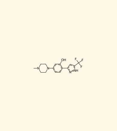 CN1CCN(c2ccc(-c3cc(C(F)(F)F)[nH]n3)c(O)c2)CC1